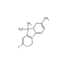 CC1=CC=C2C3=C(C=C(I)CC3)C(C)(C)C2C1